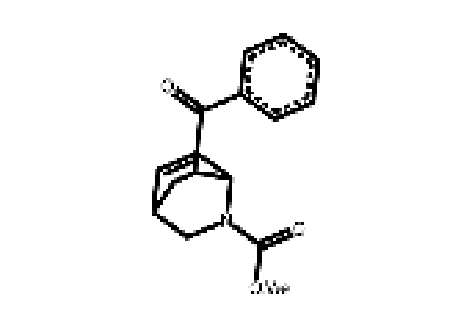 COC(=O)N1CC2C=CC1C(C(=O)c1ccccc1)C2